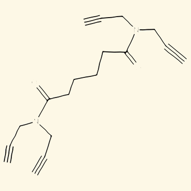 C#CCN(CC#C)C(=O)CCCCC(=O)N(CC#C)CC#C